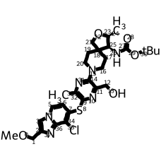 COCc1cn2ccc(Sc3nc(CO)c(N4CCC5(CC4)CO[C@@H](C)[C@H]5NC(=O)OC(C)(C)C)nc3C)c(Cl)c2n1